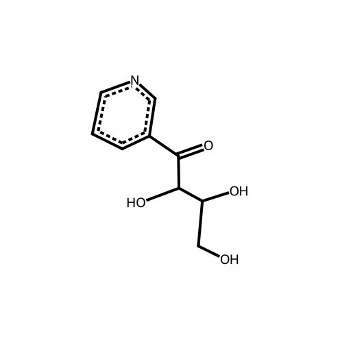 O=C(c1cccnc1)C(O)C(O)CO